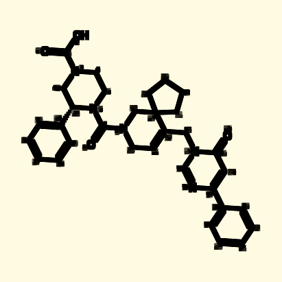 O=C(O)N1CCN(C(=O)N2CC=C(Cn3cnc(-c4ccccc4)cc3=O)C3(CCCC3)C2)[C@H](c2ccccc2)C1